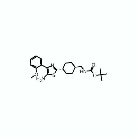 COc1ccccc1-c1nc([C@H]2CC[C@H](CNC(=O)OC(C)(C)C)CC2)sc1N